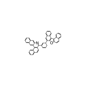 C1=CC(c2nc3cc4ccccc4cc3c3c2ccc2ccccc23)=CC(c2cc3ccccc3c3c2oc2ccc4ccccc4c23)C1